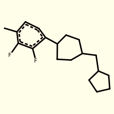 Cc1ccc(C2CCC(CC3CCCC3)CC2)c(F)c1F